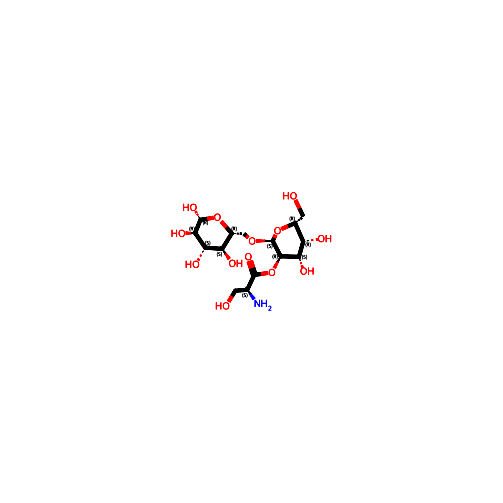 N[C@@H](CO)C(=O)O[C@H]1[C@@H](OC[C@H]2O[C@@H](O)[C@H](O)[C@@H](O)[C@@H]2O)O[C@H](CO)[C@H](O)[C@@H]1O